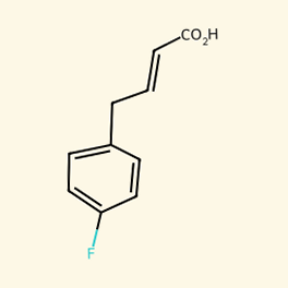 O=C(O)C=CCc1ccc(F)cc1